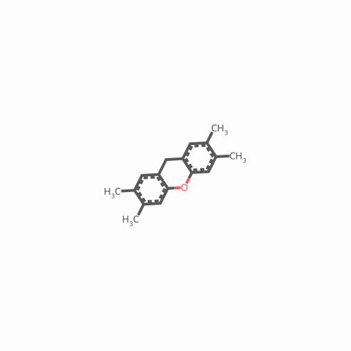 Cc1cc2c(cc1C)Oc1cc(C)c(C)cc1C2